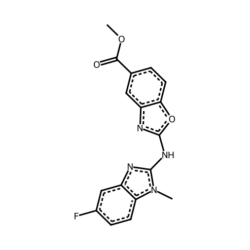 COC(=O)c1ccc2oc(Nc3nc4cc(F)ccc4n3C)nc2c1